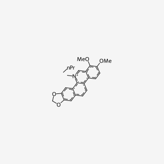 CCCC.COc1ccc2c(c[n+](C)c3c4cc5c(cc4ccc23)OCO5)c1OC